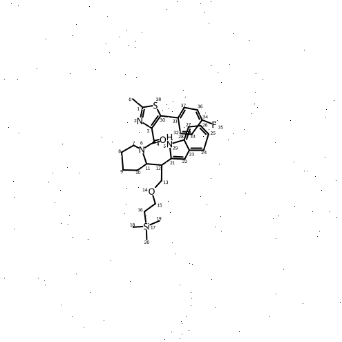 Cc1nc(C(=O)N2CCCCC2C(COCC[Si](C)(C)C)c2cc3ccccc3[nH]2)c(-c2ccc(F)cc2)s1